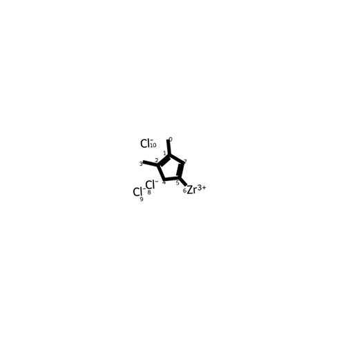 CC1=C(C)C[C]([Zr+3])=C1.[Cl-].[Cl-].[Cl-]